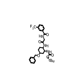 CC(C)(C)OC(=O)NC1CC(OCc2ccccc2)CCC1NC(=O)CNC(=O)c1cccc(C(F)(F)F)c1